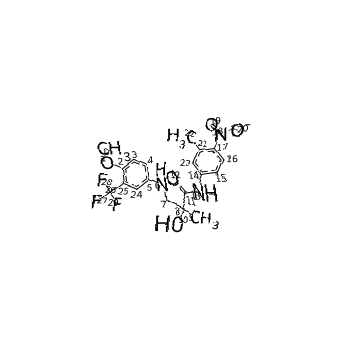 COc1ccc(NCC(C)(O)C(=O)Nc2ccc([N+](=O)[O-])c(C)c2)cc1C(F)(F)F